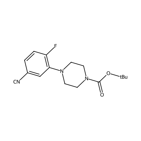 [C-]#[N+]c1ccc(F)c(N2CCN(C(=O)OC(C)(C)C)CC2)c1